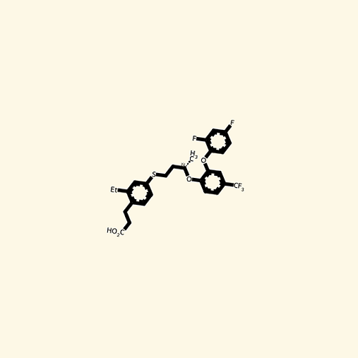 CCc1cc(SCC[C@H](C)Oc2ccc(C(F)(F)F)cc2Oc2ccc(F)cc2F)ccc1CCC(=O)O